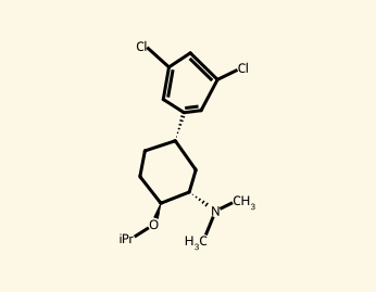 CC(C)O[C@H]1CC[C@H](c2cc(Cl)cc(Cl)c2)C[C@@H]1N(C)C